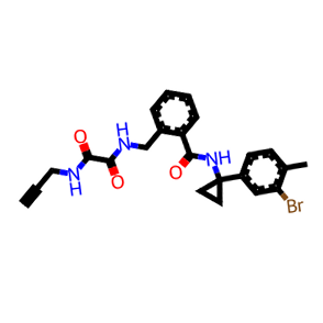 C#CCNC(=O)C(=O)NCc1ccccc1C(=O)NC1(c2ccc(C)c(Br)c2)CC1